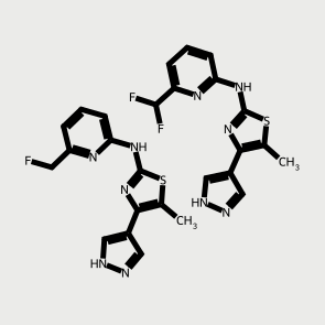 Cc1sc(Nc2cccc(C(F)F)n2)nc1-c1cn[nH]c1.Cc1sc(Nc2cccc(CF)n2)nc1-c1cn[nH]c1